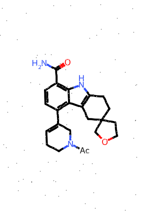 CC(=O)N1CCC=C(c2ccc(C(N)=O)c3[nH]c4c(c23)CC2(CCOC2)CC4)C1